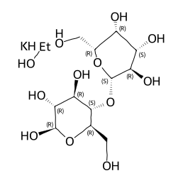 CCO.OC[C@H]1O[C@@H](O[C@H]2[C@H](O)[C@@H](O)[C@H](O)O[C@@H]2CO)[C@H](O)[C@@H](O)[C@H]1O.[KH]